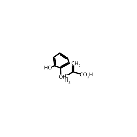 C=C(C)C(=O)O.Oc1ccccc1O